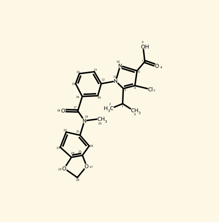 CC(C)c1c(Cl)c(C(=O)O)nn1-c1cccc(C(=O)N(C)c2ccc3c(c2)OCO3)c1